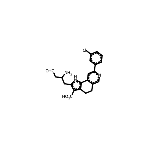 NC(CC=O)Cc1[nH]c2c(c1C(=O)O)CCc1cnc(-c3cccc(Cl)c3)cc1-2